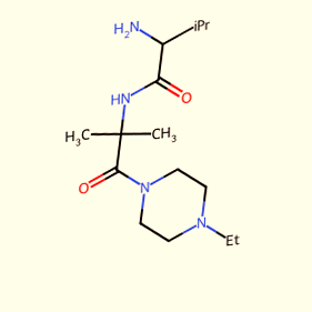 CCN1CCN(C(=O)C(C)(C)NC(=O)C(N)C(C)C)CC1